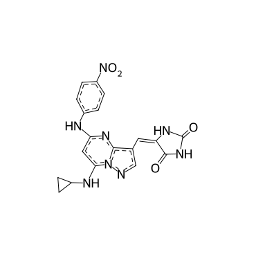 O=C1NC(=O)/C(=C\c2cnn3c(NC4CC4)cc(Nc4ccc([N+](=O)[O-])cc4)nc23)N1